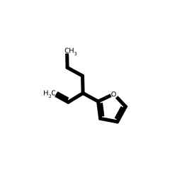 C=CC(CCC)c1ccco1